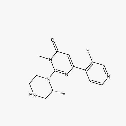 C[C@@H]1CNCCN1c1nc(-c2ccncc2F)cc(=O)n1C